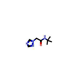 CC(C)(C)NC(=O)Cn1cncn1